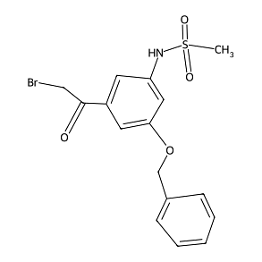 CS(=O)(=O)Nc1cc(OCc2ccccc2)cc(C(=O)CBr)c1